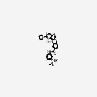 Cc1ccc(C(=O)Nc2cccc([S+]([O-])N(C)C)c2)cc1Nc1ncnc2cnc(N3CCCC3)nc12